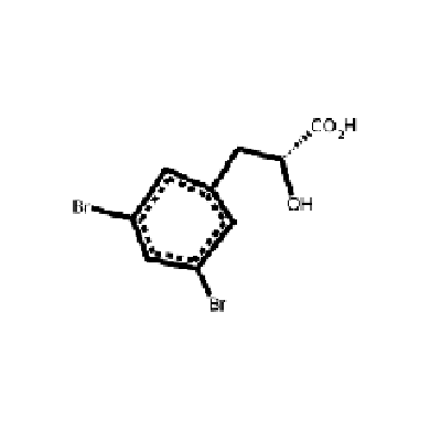 O=C(O)[C@H](O)Cc1cc(Br)cc(Br)c1